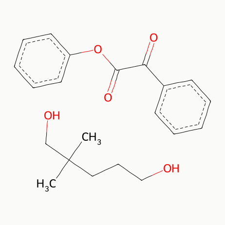 CC(C)(CO)CCCO.O=C(Oc1ccccc1)C(=O)c1ccccc1